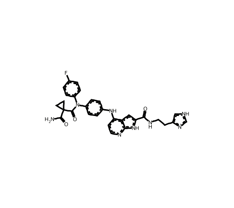 NC(=O)C1(C(=O)N(c2ccc(F)cc2)c2ccc(Nc3ccnc4[nH]c(C(=O)NCCc5c[nH]cn5)cc34)cc2)CC1